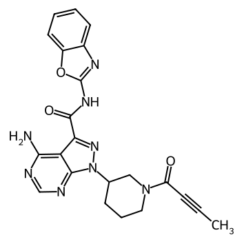 CC#CC(=O)N1CCCC(n2nc(C(=O)Nc3nc4ccccc4o3)c3c(N)ncnc32)C1